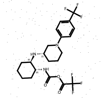 O=C(N[C@@H]1CCCC[C@H]1N[C@H]1CCCN(c2ccc(C(F)(F)F)cc2)C1)OC(=O)C(F)(F)F